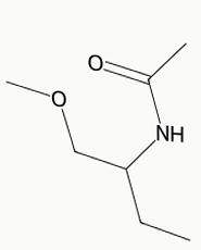 CCC(COC)NC(C)=O